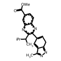 COC(=O)c1ccc2nc(C3=CCC4=NN=C(C)C4=C3)c(C(C)C(C)C)nc2c1